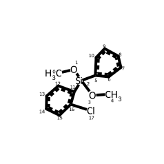 CO[Si](OC)(c1ccccc1)c1ccccc1Cl